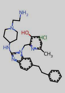 Cc1ccc(O)c(Cn2c(NC3CCN(CCN)CC3)nc3ccc(CCc4ccccc4)cc32)n1.Cl